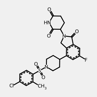 Cc1cc(Cl)ccc1S(=O)(=O)N1CCC(c2cc(F)cc3c2CN(C2CCC(=O)NC2=O)C3=O)CC1